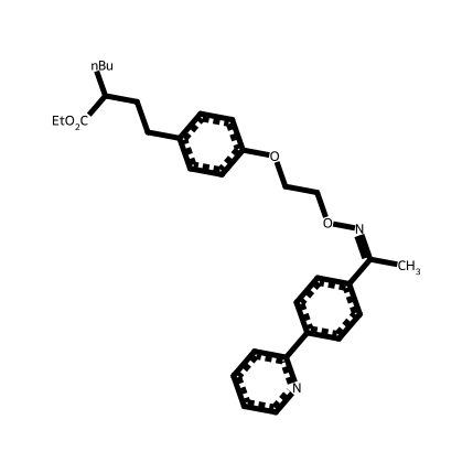 CCCCC(CCc1ccc(OCCON=C(C)c2ccc(-c3ccccn3)cc2)cc1)C(=O)OCC